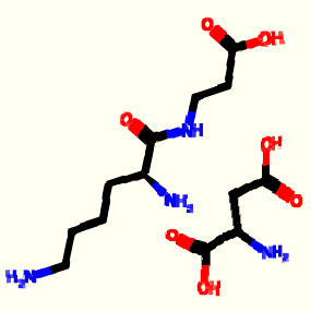 NC(CC(=O)O)C(=O)O.NCCCC[C@H](N)C(=O)NCCC(=O)O